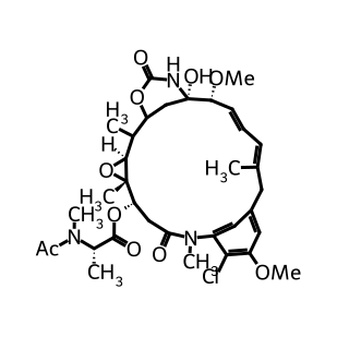 COc1cc2cc(c1Cl)N(C)C(=O)C[C@H](OC(=O)[C@H](C)N(C)C(C)=O)[C@]1(C)O[C@H]1C(C)C1C[C@@](O)(NC(=O)O1)[C@H](OC)/C=C/C=C(\C)C2